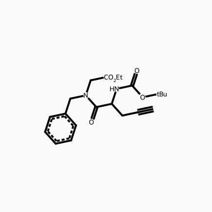 C#CCC(NC(=O)OC(C)(C)C)C(=O)N(CC(=O)OCC)Cc1ccccc1